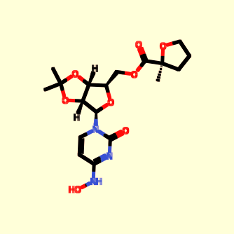 CC1(C)O[C@@H]2[C@H](O1)[C@@H](COC(=O)[C@]1(C)CCCO1)O[C@H]2n1ccc(NO)nc1=O